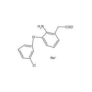 Nc1c(CC(=O)[O-])cccc1Oc1cccc(Cl)c1.[Na+]